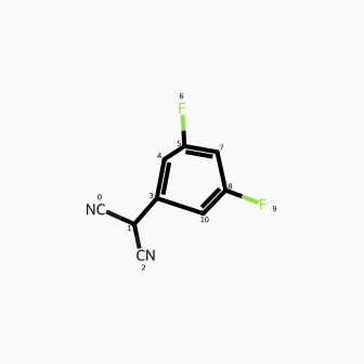 N#CC(C#N)c1cc(F)cc(F)c1